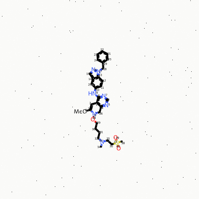 COC1=Cc2c(ncnc2Nc2ccc3c(cnn3Cc3ccccc3)c2)CN1OCCCCN(C)CCS(C)(=O)=O